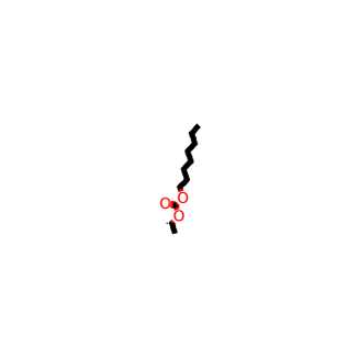 C[CH]OC(=O)OCCCCCCCC